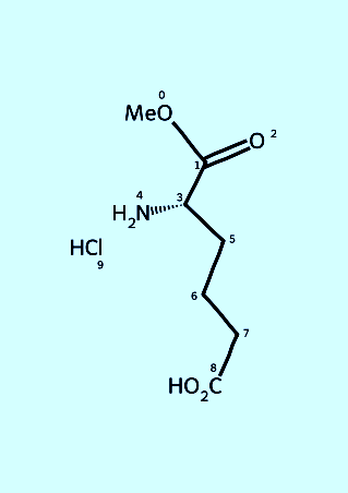 COC(=O)[C@@H](N)CCCC(=O)O.Cl